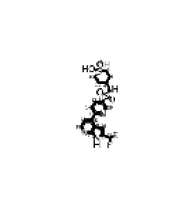 O=S(=O)(NC1CCS(O)(O)CC1)c1ccc(-c2ccnc3[nH]c(C(F)F)cc23)nc1